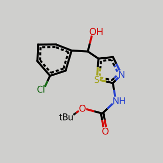 CC(C)(C)OC(=O)Nc1ncc(C(O)c2cccc(Cl)c2)s1